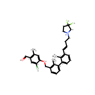 Cc1cc(OCc2cccc(-c3cccc(/C=C/CCN4CCC(F)(F)C4)c3C)c2C)c(Cl)cc1C=O